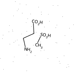 CS(=O)(=O)O.NCCC(=O)O